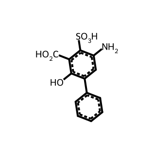 Nc1cc(-c2ccccc2)c(O)c(C(=O)O)c1S(=O)(=O)O